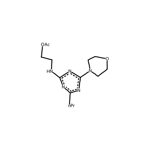 CCCc1nc(NCCOC(C)=O)nc(N2CCOCC2)n1